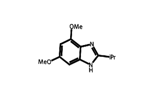 COc1cc(OC)c2nc(C(C)C)[nH]c2c1